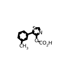 Cc1cccc(-c2scnc2OC(=O)O)c1